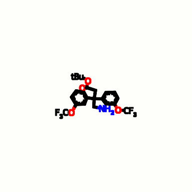 CC(C)(C)OC(=O)CC(CN)(c1cccc(OC(F)(F)F)c1)c1cccc(OC(F)(F)F)c1